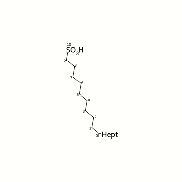 CCCCCCCCCCCC[CH]CCCS(=O)(=O)O